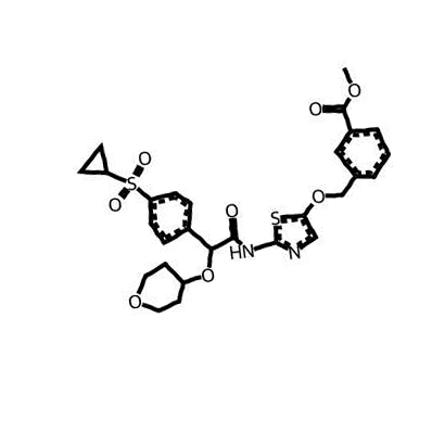 COC(=O)c1cccc(COc2cnc(NC(=O)C(OC3CCOCC3)c3ccc(S(=O)(=O)C4CC4)cc3)s2)c1